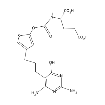 Nc1nc(N)c(CCCc2csc(OC(=O)N[C@@H](CCC(=O)O)C(=O)O)c2)c(O)n1